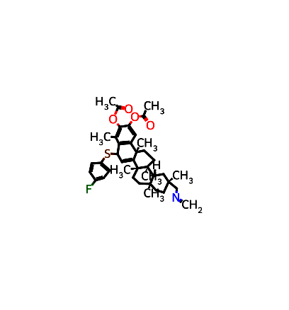 C=NC[C@]1(C)CC[C@]2(C)CC[C@]3(C)C4=CC(Sc5ccc(F)cc5)c5c(cc(OC(C)=O)c(OC(C)=O)c5C)[C@]4(C)CC[C@@]3(C)[C@@H]2C1